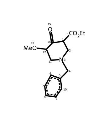 CCOC(=O)C1CN(Cc2ccccc2)CC(OC)C1=O